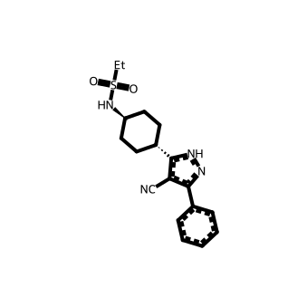 CCS(=O)(=O)N[C@H]1CC[C@H](c2[nH]nc(-c3ccccc3)c2C#N)CC1